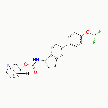 O=C(NC1CCc2cc(-c3ccc(OC(F)F)cc3)ccc21)O[C@H]1CN2CCC1CC2